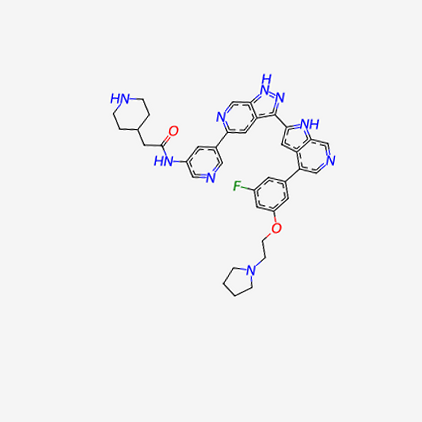 O=C(CC1CCNCC1)Nc1cncc(-c2cc3c(-c4cc5c(-c6cc(F)cc(OCCN7CCCC7)c6)cncc5[nH]4)n[nH]c3cn2)c1